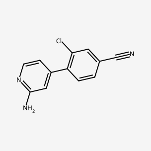 N#Cc1ccc(-c2ccnc(N)c2)c(Cl)c1